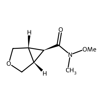 CON(C)C(=O)[C@H]1[C@@H]2COC[C@@H]21